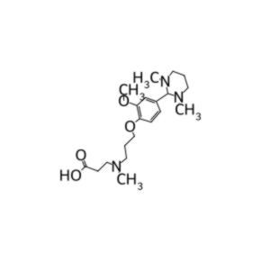 COc1cc(C2N(C)CCCN2C)ccc1OCCCN(C)CCC(=O)O